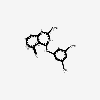 COc1cc(C)cc(Nc2nc(SC)nc3cc[nH]c(=O)c23)c1